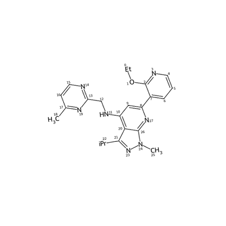 CCOc1ncccc1-c1cc(NCc2nccc(C)n2)c2c(C(C)C)nn(C)c2n1